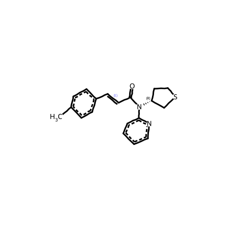 Cc1ccc(/C=C/C(=O)N(c2ccccn2)[C@@H]2CCSC2)cc1